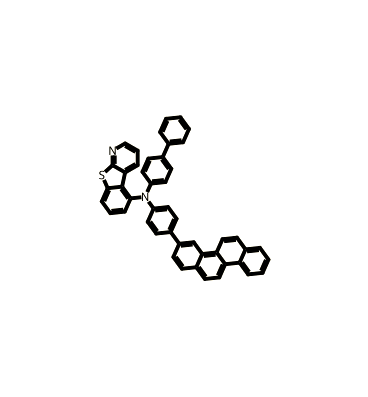 c1ccc(-c2ccc(N(c3ccc(-c4ccc5ccc6c7ccccc7ccc6c5c4)cc3)c3cccc4sc5ncccc5c34)cc2)cc1